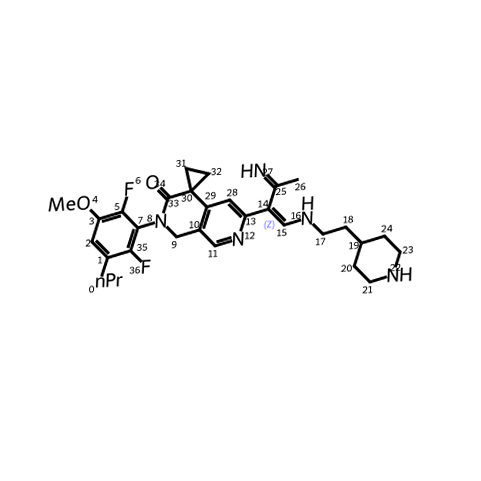 CCCc1cc(OC)c(F)c(N2Cc3cnc(/C(=C/NCCC4CCNCC4)C(C)=N)cc3C3(CC3)C2=O)c1F